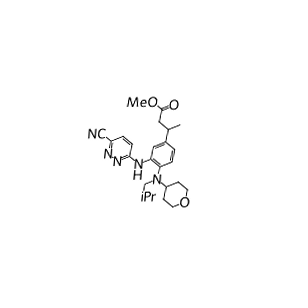 COC(=O)CC(C)c1ccc(N(CC(C)C)C2CCOCC2)c(Nc2ccc(C#N)nn2)c1